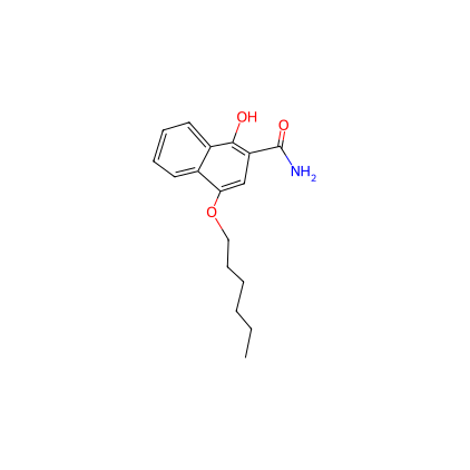 CCCCCCOc1cc(C(N)=O)c(O)c2ccccc12